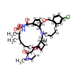 C[C@@H]1[C@@H](C)CCC[C@@](O)([C@@H]2CCN(C)C2=O)[C@@H]2CC[C@H]2CN2CCCCc3cc(Cl)ccc3COc3ccc(cc32)C(=O)NS1(=O)=O